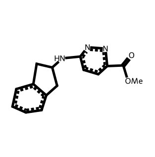 COC(=O)c1ccc(NC2Cc3ccccc3C2)nn1